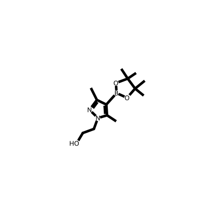 Cc1nn(CCO)c(C)c1B1OC(C)(C)C(C)(C)O1